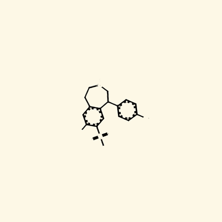 CS(=O)(=O)c1cc2c(cc1O)CCNCC2c1ccc(O)cc1